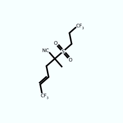 CC(C#N)(CC=CC(F)(F)F)S(=O)(=O)CCC(F)(F)F